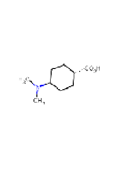 CN(C)[C@H]1CC[C@H](C(=O)O)CC1